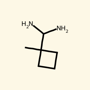 CC1(C(N)N)CCC1